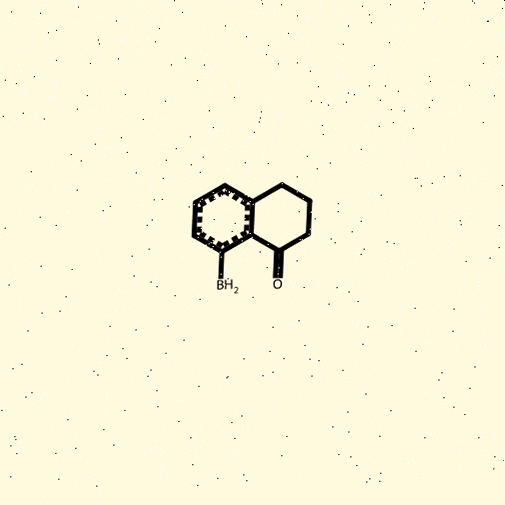 Bc1cccc2c1C(=O)CCC2